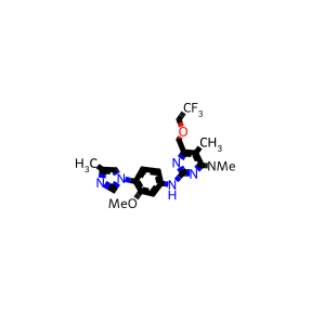 CNc1nc(Nc2ccc(-n3cnc(C)c3)c(OC)c2)nc(COCC(F)(F)F)c1C